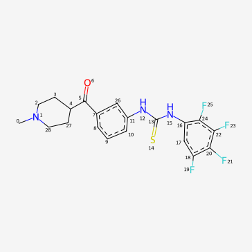 CN1CCC(C(=O)c2cccc(NC(=S)Nc3cc(F)c(F)c(F)c3F)c2)CC1